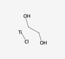 OCCO.[Cl][Ti]